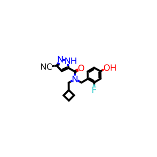 N#Cc1cc(C(=O)N(Cc2ccc(O)cc2F)CC2CCC2)[nH]n1